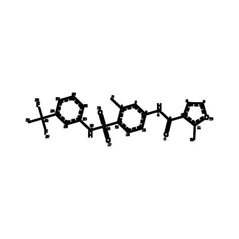 Cc1cc(NC(=O)c2ccoc2C)ccc1S(=O)(=O)Nc1cccc(C(C)(F)F)c1